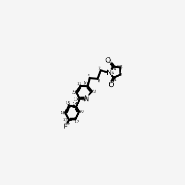 O=C1CCC(=O)N1CCCc1ccc(-c2ccc(F)cc2)nc1